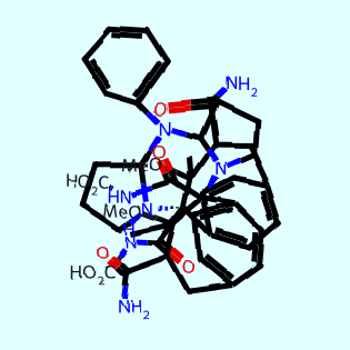 COC1(C)C(C(N)=O)Cc2ccc(cc2)[C@]1(C(=O)NC(=O)O)N1CCCC1N(c1ccccc1)C1CCCN1[C@@]1(C(=O)NC(=O)O)c2ccc(cc2)CC(C(N)=O)C1(C)OC